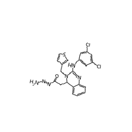 NN=NC(=O)CC1c2ccccc2N=C(Nc2cc(Cl)cc(Cl)c2)N1Cc1ccsc1